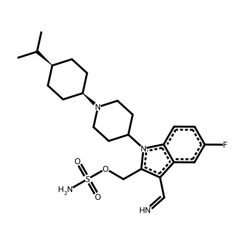 CC(C)[C@H]1CC[C@@H](N2CCC(n3c(COS(N)(=O)=O)c(C=N)c4cc(F)ccc43)CC2)CC1